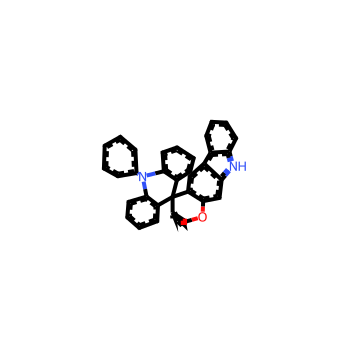 c1ccc(N2c3ccccc3C3(c4ccccc4Oc4cc5[nH]c6ccccc6c5cc43)c3ccccc32)cc1